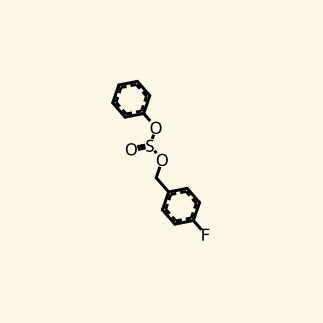 O=S(OCc1ccc(F)cc1)Oc1ccccc1